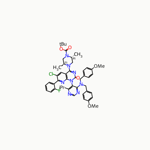 COc1ccc(CN(Cc2ccc(OC)cc2)c2ncnc(C(C)C)c2-n2c(=O)nc(N3C[C@@H](C)N(C(=O)OC(C)(C)C)C[C@@H]3C)c3cc(Cl)c(-c4ccccc4F)nc32)cc1